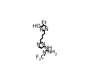 CCc1cnc(CCCCc2nccc(NC(N)=NCC(F)(F)F)n2)nc1O